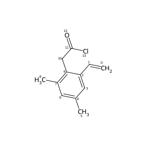 C=Cc1cc(C)cc(C)c1CC(=O)Cl